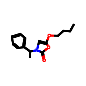 CCCCOc1cn(C(C)c2ccccc2)c(=O)o1